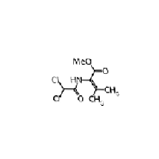 COC(=O)C(NC(=O)C(Cl)Cl)=C(C)C